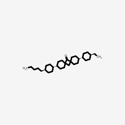 CCCCC[C@H]1CC[C@H](C2CCC3(CC2)CC2(CCC([C@H]4CC[C@H](CC)CC4)CC2)C3=O)CC1